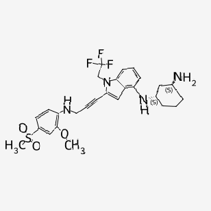 COc1cc(S(C)(=O)=O)ccc1NCC#Cc1cc2c(N[C@H]3CCC[C@H](N)C3)cccc2n1CC(F)(F)F